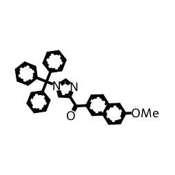 COc1ccc2cc(C(=O)c3cn(C(c4ccccc4)(c4ccccc4)c4ccccc4)cn3)ccc2c1